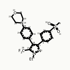 CCn1nc(-c2ccc(S(C)(=O)=O)cc2)c(-c2ccc(N3CCOCC3)cc2)c1C(F)(F)F